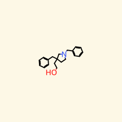 OCCC1(Cc2ccccc2)CCN(Cc2ccccc2)C1